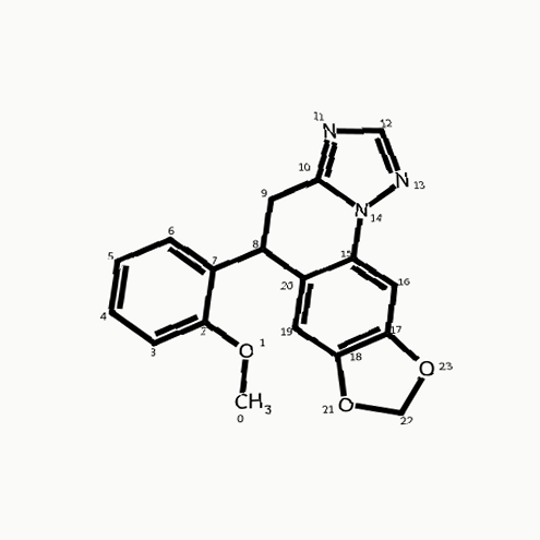 COc1ccccc1C1Cc2ncnn2-c2cc3c(cc21)OCO3